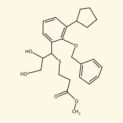 COC(=O)CCSC(c1cccc(C2CCCC2)c1OCc1ccccc1)C(O)CO